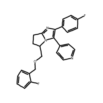 Fc1ccc(-c2nc3n(c2-c2ccncc2)C(COCc2ccccc2F)CC3)cc1